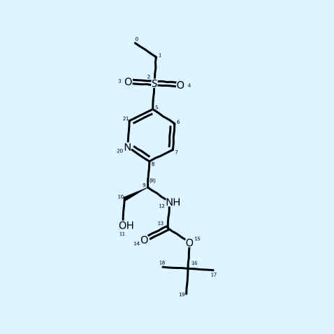 CCS(=O)(=O)c1ccc([C@H](CO)NC(=O)OC(C)(C)C)nc1